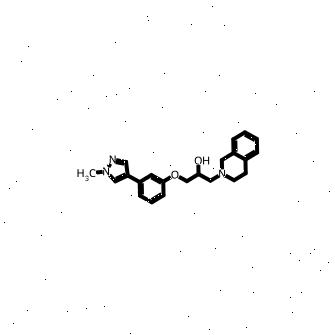 Cn1cc(-c2cccc(OCC(O)CN3CCc4ccccc4C3)c2)cn1